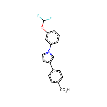 O=C(O)c1ccc(-c2ccn(-c3cccc(OC(F)F)c3)c2)cc1